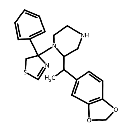 CC(c1ccc2c(c1)OCO2)C1CNCCN1C1(c2ccccc2)CSC=N1